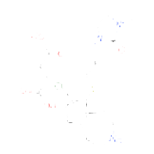 CN1CCN(CCCSc2c(Cl)ccc3c2CCNCC3)C1=O.O=C(O)CCC(=O)O